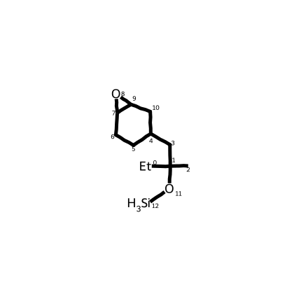 CCC(C)(CC1CCC2OC2C1)O[SiH3]